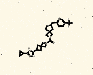 O=C(N1CC2(CCC(Cc3ccc(C(F)(F)F)cn3)C2)C1)N1CC2(CC(c3nnc(C4CC4)[nH]3)C2)C1